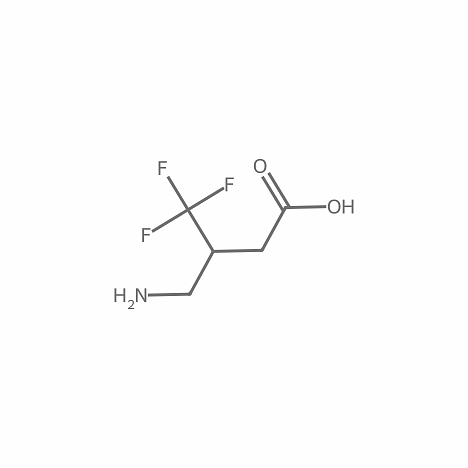 NCC(CC(=O)O)C(F)(F)F